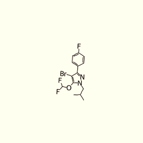 CC(C)Cn1nc(-c2ccc(F)cc2)c(Br)c1OC(F)F